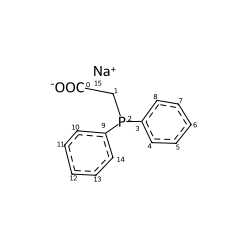 O=C([O-])CP(c1ccccc1)c1ccccc1.[Na+]